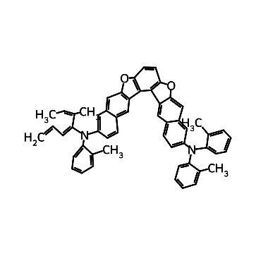 C=C/C=C(\C(C)=C/C)N(c1ccc2cc3c(cc2c1)oc1ccc2oc4cc5cc(N(c6ccccc6C)c6ccccc6C)ccc5cc4c2c13)c1ccccc1C